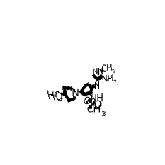 Cn1ncc(N=C2C=CC(=[N+]3CCC(O)CC3)C=C2NS(C)(=O)=O)c1N